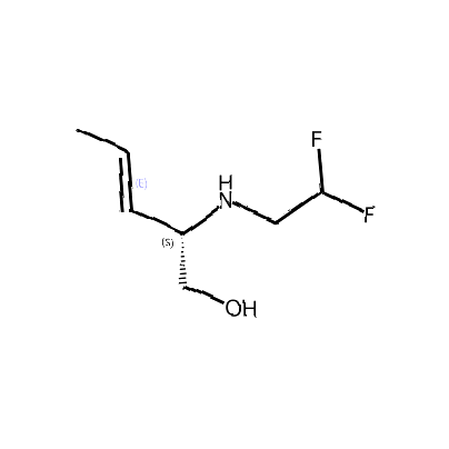 C/C=C/[C@@H](CO)NCC(F)F